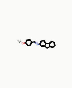 COc1ccc(/C=N/c2ccc3c(c2)Cc2ccccc2-3)cc1